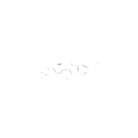 CCn1c(-c2ccc(N(C)S(=O)(=O)CC)cc2)c(C#N)c2ccc(OC)cc21